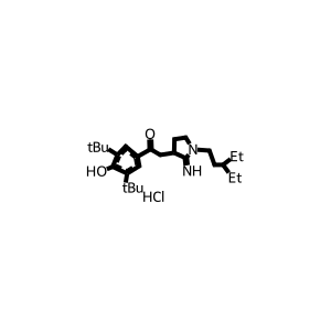 CCC(CC)CCN1CCC(CC(=O)c2cc(C(C)(C)C)c(O)c(C(C)(C)C)c2)C1=N.Cl